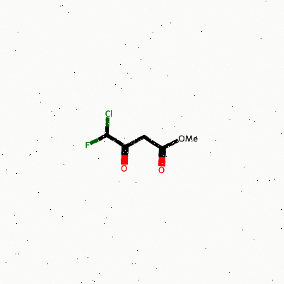 COC(=O)CC(=O)C(F)Cl